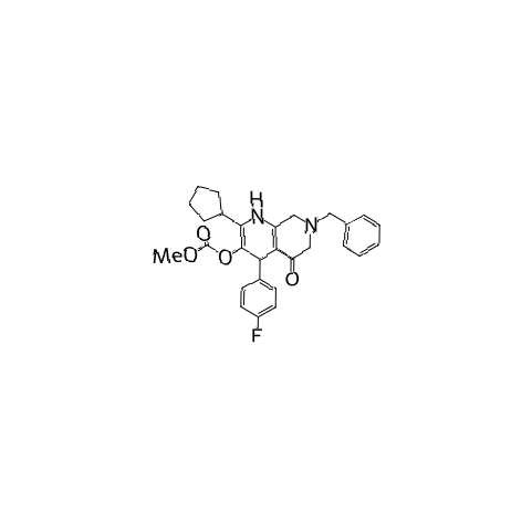 COC(=O)OC1=C(C2CCCC2)NC2=C(C(=O)CN(Cc3ccccc3)C2)C1c1ccc(F)cc1